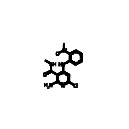 CNC(=O)c1c(Nc2ccccc2[S+](C)[O-])cc(Cl)nc1N